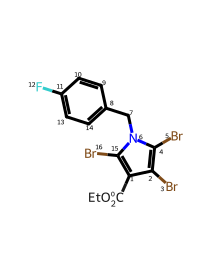 CCOC(=O)c1c(Br)c(Br)n(Cc2ccc(F)cc2)c1Br